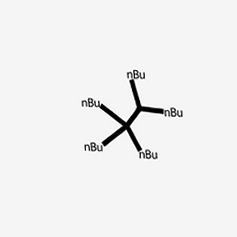 CCCC[C](CCCC)C(CCCC)(CCCC)CCCC